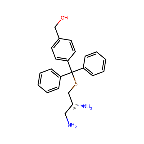 NC[C@@H](N)CSC(c1ccccc1)(c1ccccc1)c1ccc(CO)cc1